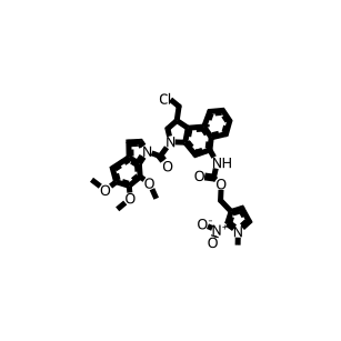 COc1cc2ccn(C(=O)N3CC(CCl)c4c3cc(NC(=O)OCc3ccn(C)c3[N+](=O)[O-])c3ccccc43)c2c(OC)c1OC